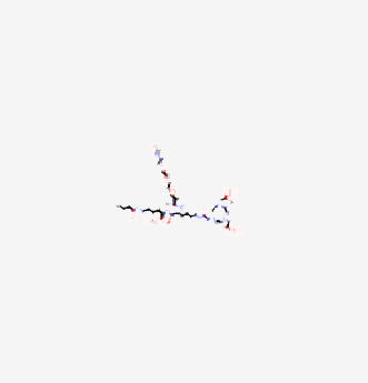 CCCC(=O)NCCCCC(NC(=O)C(CCCCNC(=O)CN1CCN(CC(=O)O)CCN(CC(=O)O)CC1)NC(=O)CCOCCOCCOCCNC=O)C(=O)O